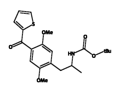 COc1cc(C(=O)c2cccs2)c(OC)cc1CC(C)NC(=O)OC(C)(C)C